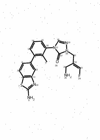 Cc1c(-c2ccc3sc(N)nc3c2)cccc1-n1cnn(C/C(=C/F)CN)c1=O